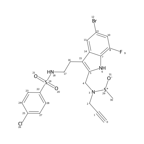 C#CCN(Cc1[nH]c2c(F)cc(Br)cc2c1CCNS(=O)(=O)c1ccc(Cl)cc1)[S+](C)[O-]